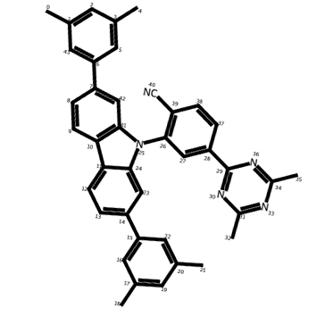 Cc1cc(C)cc(-c2ccc3c4ccc(-c5cc(C)cc(C)c5)cc4n(-c4cc(-c5nc(C)nc(C)n5)ccc4C#N)c3c2)c1